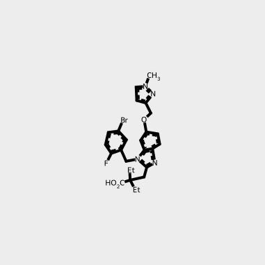 CCC(CC)(Cc1nc2ccc(OCc3ccn(C)n3)cc2n1Cc1cc(Br)ccc1F)C(=O)O